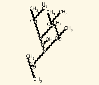 CCCCCCCCC(CCCCCC)C(=O)OCCCCCCCCCN(CCCCCCCCCOC(=O)C(CCCCCC)CCCCCCCC)CCCN(CCCO)CCCN(CCCCCCCCCOC(=O)C(CCCCCC)CCCCCCCC)CCCCCCCCCOC(=O)C(CCCCCC)CCCCCCCC